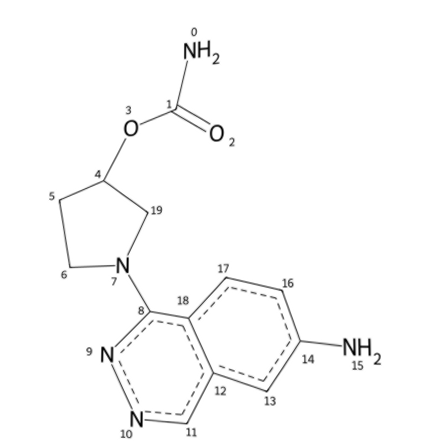 NC(=O)OC1CCN(c2nncc3cc(N)ccc23)C1